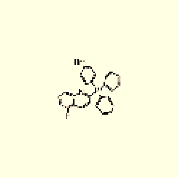 Fc1cccc2nc([P+](c3ccccc3)(c3ccccc3)c3ccccc3)ccc12.[Br-]